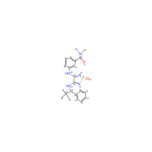 CN(C)C(=O)c1cccc(Nc2n[s+]([O-])nc2NC(c2ccccc2)C(C)(C)C)c1